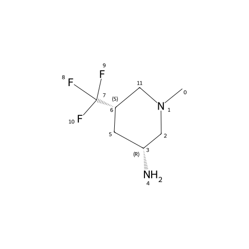 CN1C[C@H](N)C[C@H](C(F)(F)F)C1